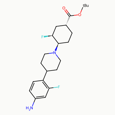 CC(C)(C)OC(=O)[C@@H]1CC[C@@H](N2CCC(c3ccc(N)cc3F)CC2)[C@@H](F)C1